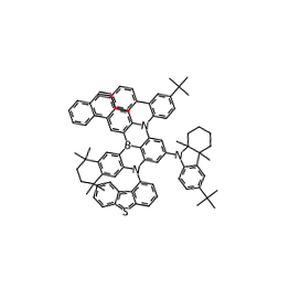 CC(C)(C)c1ccc(N2c3cc4c#cc5ccccc5c4cc3B3c4cc5c(cc4N(c4cccc6sc7ccccc7c46)c4cc(N6c7ccc(C(C)(C)C)cc7C7(C)CCCCC67C)cc2c43)C(C)(C)CCC5(C)C)c(-c2ccccc2)c1